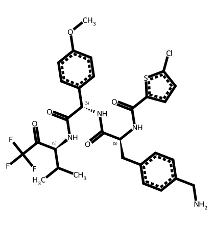 COc1ccc([C@H](NC(=O)[C@H](Cc2ccc(CN)cc2)NC(=O)c2ccc(Cl)s2)C(=O)N[C@H](C(=O)C(F)(F)F)C(C)C)cc1